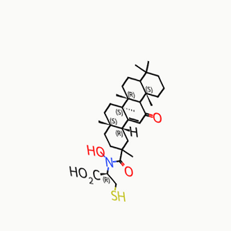 CC1(C(=O)N(O)[C@@H](CS)C(=O)O)CC[C@]2(C)CC[C@]3(C)C(=CC(=O)C4[C@@]5(C)CCCC(C)(C)C5CC[C@]43C)[C@@H]2C1